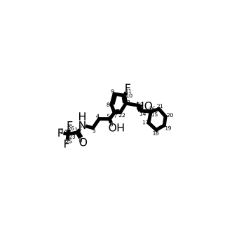 O=C(NCCC(O)c1ccc(F)c(C=CC2(O)CCCCC2)c1)C(F)(F)F